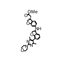 COC(=O)C[C@@H]1COc2cc(N[C@@H]3COc4c(-c5c(C)nc(N6CCOCC6)nc5C)cccc43)ccc21